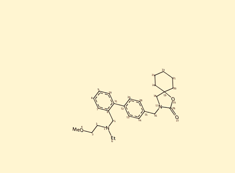 CCN(CCOC)Cc1ccccc1-c1ccc(CN2CC3(CCCCC3)OC2=O)cc1